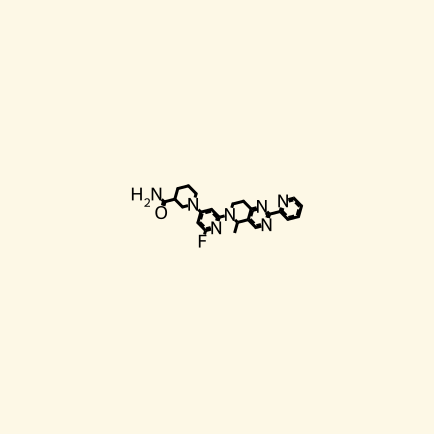 CC1c2cnc(-c3ccccn3)nc2CCN1c1cc(N2CCCC(C(N)=O)C2)cc(F)n1